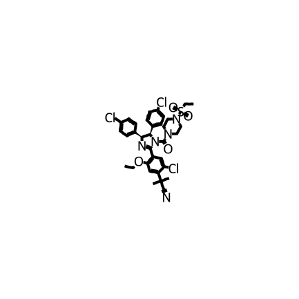 CCOc1cc(C(C)(C)C#N)c(Cl)cc1C1=N[C@@H](c2ccc(Cl)cc2)[C@@H](c2ccc(Cl)cc2)N1C(=O)N1CCN(S(=O)(=O)CC)CC1